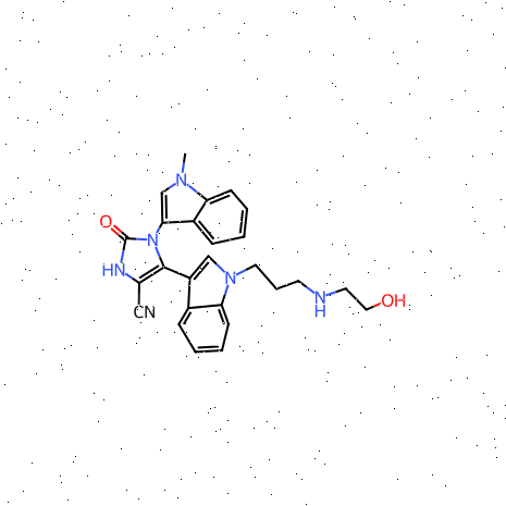 Cn1cc(-n2c(-c3cn(CCCNCCO)c4ccccc34)c(C#N)[nH]c2=O)c2ccccc21